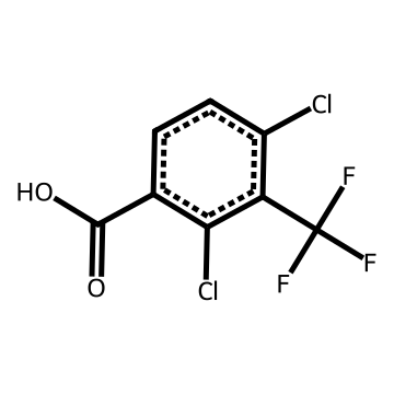 O=C(O)c1ccc(Cl)c(C(F)(F)F)c1Cl